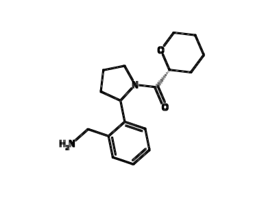 NCc1ccccc1C1CCCN1C(=O)[C@H]1CCCCO1